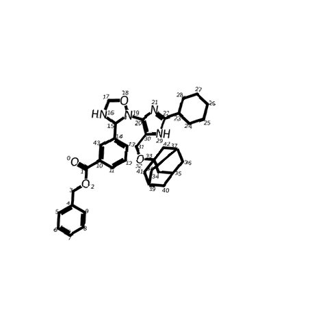 O=C(OCc1ccccc1)c1cccc(C2NCON2c2nc(C3CCCCC3)[nH]c2COC23CC4CC(CC(C4)C2)C3)c1